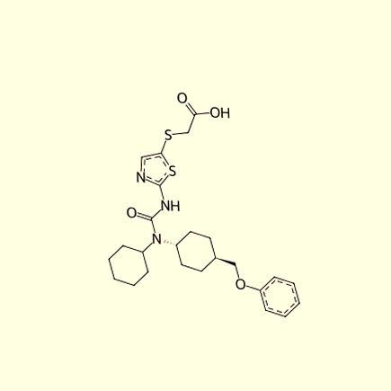 O=C(O)CSc1cnc(NC(=O)N(C2CCCCC2)[C@H]2CC[C@H](COc3ccccc3)CC2)s1